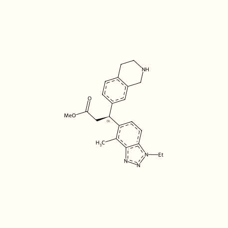 CCn1nnc2c(C)c([C@@H](CC(=O)OC)c3ccc4c(c3)CNCC4)ccc21